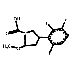 COC1CC(c2c(F)ccc(F)c2F)CN1C(=O)O